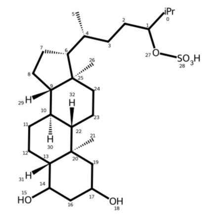 CC(C)C(CC[C@@H](C)[C@H]1CC[C@H]2[C@@H]3CC[C@H]4C(O)CC(O)C[C@]4(C)[C@H]3CC[C@]12C)OS(=O)(=O)O